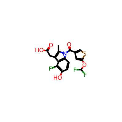 Cc1c(CC(=O)O)c2c(F)c(O)ccc2n1C(=O)c1csc(OC(F)F)c1